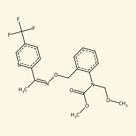 COCN(C(=O)OC)c1ccccc1CON=C(C)c1ccc(C(F)(F)F)cn1